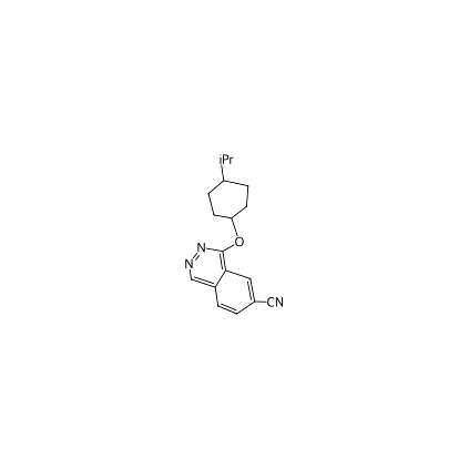 CC(C)C1CCC(Oc2nncc3ccc(C#N)cc23)CC1